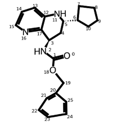 O=C(N[C@@H]1C[C@@H](C2CCCC2)Nc2cccnc21)OCc1ccccc1